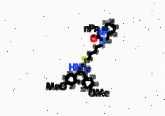 CCCNC(=O)N(CCCCCSc1nc(-c2ccc(OC)cc2)c(-c2ccc(OC)cc2)[nH]1)Cc1ccccn1